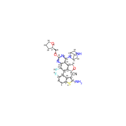 N#Cc1c(N)sc2ccc(F)c(-c3c4c(c5c(N6C7CNCC6C7)nc(OC[C@H]6CCCO6)nc5c3F)COC4)c12